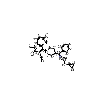 Cn1c(=O)c(C#N)c(N2CCC(/C(=N/OCC3CC3)c3ccccc3)CC2)c2nc(Cl)ccc21